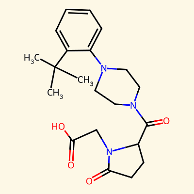 CC(C)(C)c1ccccc1N1CCN(C(=O)C2CCC(=O)N2CC(=O)O)CC1